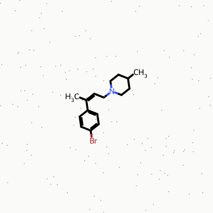 C/C(=C/CN1CCC(C)CC1)c1ccc(Br)cc1